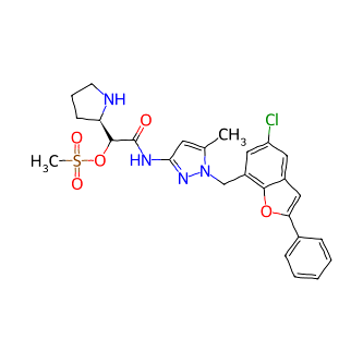 Cc1cc(NC(=O)C(OS(C)(=O)=O)[C@H]2CCCN2)nn1Cc1cc(Cl)cc2cc(-c3ccccc3)oc12